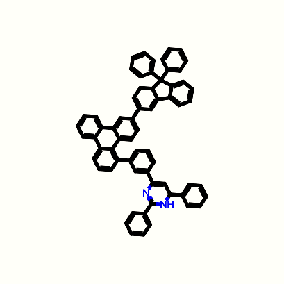 C1=C(c2ccc3c(c2)c2ccccc2c2cccc(-c4cccc(C5=CC(c6ccccc6)NC(c6ccccc6)=N5)c4)c23)C=C2c3ccccc3C(c3ccccc3)(c3ccccc3)C2C1